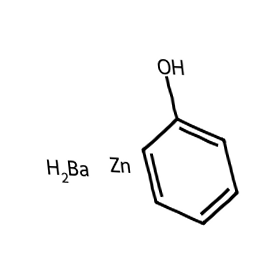 Oc1ccccc1.[BaH2].[Zn]